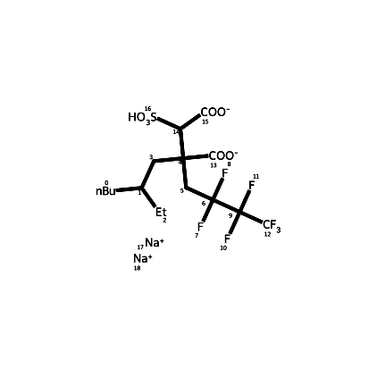 CCCCC(CC)CC(CC(F)(F)C(F)(F)C(F)(F)F)(C(=O)[O-])C(C(=O)[O-])S(=O)(=O)O.[Na+].[Na+]